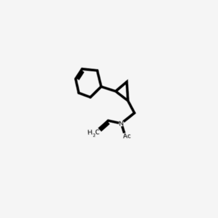 C=CN(CC1CC1C1CC=CCC1)C(C)=O